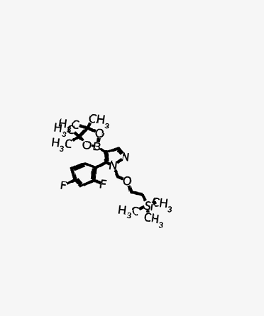 CC1(C)OB(c2cnn(COCC[Si](C)(C)C)c2-c2ccc(F)cc2F)OC1(C)C